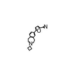 N#Cc1ccc(-c2ccc3c(c2)CCN(C2CCC2)CC3)o1